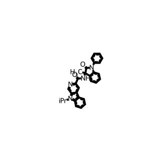 CC(C)n1c2ccccc2c2cc(C(=O)NC3(C)C(=O)N(c4ccccc4)c4ccccc43)ncc21